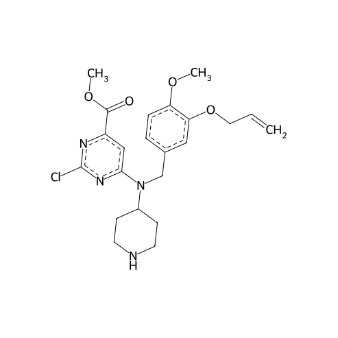 C=CCOc1cc(CN(c2cc(C(=O)OC)nc(Cl)n2)C2CCNCC2)ccc1OC